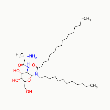 CCCCCCCCCCCCCCCC(=O)N(CCCCCCCCCCCC)[C@@H]1O[C@H](CO)[C@@H](O)[C@H](O)[C@H]1NC(=O)[C@H](C)N